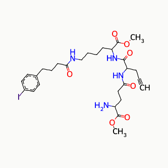 C#CCC(NC(=O)CCC(N)C(=O)OC)C(=O)NC(CCCCNC(=O)CCCc1ccc(I)cc1)C(=O)OC